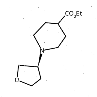 CCOC(=O)C1CCN([C@H]2CCOC2)CC1